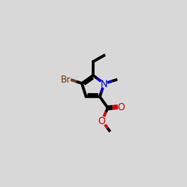 CCc1c(Br)cc(C(=O)OC)n1C